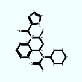 CC(=O)N(C1CCCCC1)[C@@H]1C[C@H](C)N(C(=O)c2cccs2)c2ccccc21